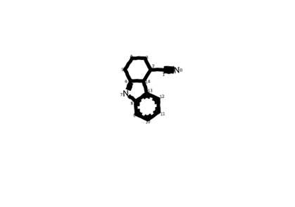 N#CC1CCCC2=Nc3ccccc3C21